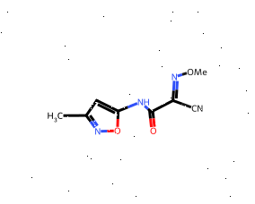 CON=C(C#N)C(=O)Nc1cc(C)no1